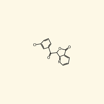 O=C1OC(C(=O)c2cccc(Cl)c2)c2ncccc21